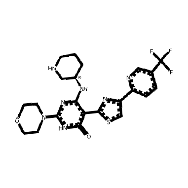 O=c1[nH]c(N2CCOCC2)nc(N[C@@H]2CCCNC2)c1-c1nc(-c2ccc(C(F)(F)F)cn2)cs1